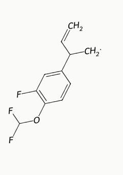 [CH2]C(C=C)c1ccc(OC(F)F)c(F)c1